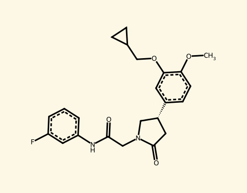 COc1ccc([C@@H]2CC(=O)N(CC(=O)Nc3cccc(F)c3)C2)cc1OCC1CC1